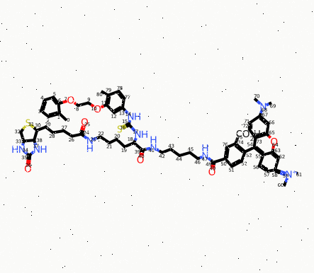 Cc1ccccc1OCCOc1cc(NC(=S)NC(CCCCNC(=O)CCCCC2SCC3NC(=O)NC32)C(=O)NCCCCCNC(=O)c2ccc(-c3c4ccc(=[N+](C)C)cc-4oc4cc(N(C)C)ccc34)c(C(=O)O)c2)ccc1C